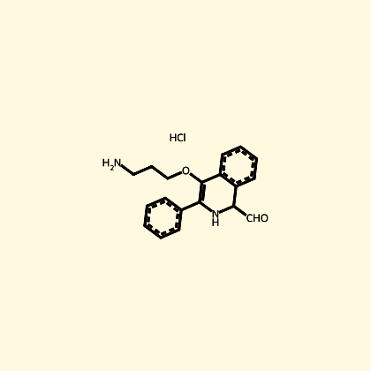 Cl.NCCCOC1=C(c2ccccc2)NC(C=O)c2ccccc21